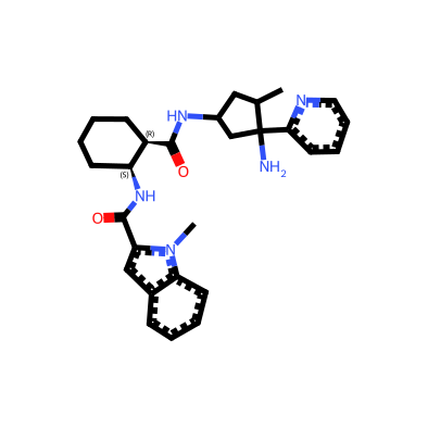 CC1CC(NC(=O)[C@@H]2CCCC[C@@H]2NC(=O)c2cc3ccccc3n2C)CC1(N)c1ccccn1